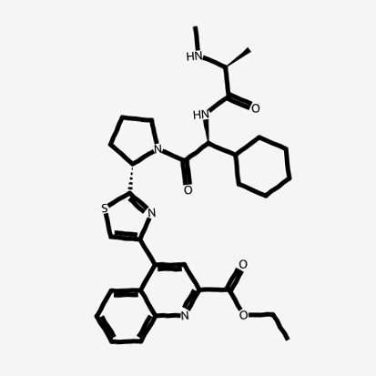 CCOC(=O)c1cc(-c2csc([C@@H]3CCCN3C(=O)[C@@H](NC(=O)[C@H](C)NC)C3CCCCC3)n2)c2ccccc2n1